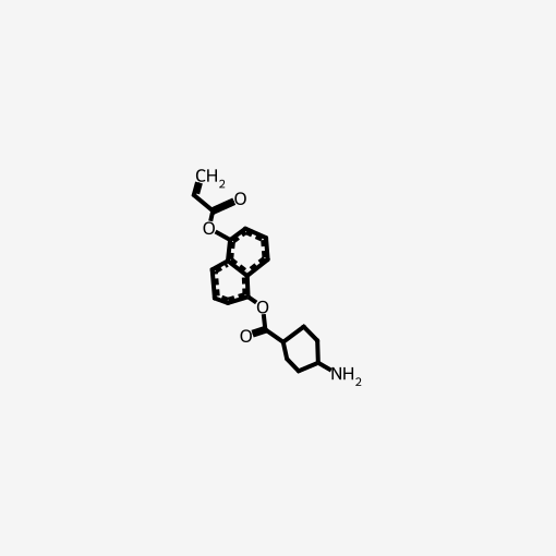 C=CC(=O)Oc1cccc2c(OC(=O)C3CCC(N)CC3)cccc12